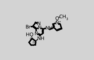 CO[n+]1cccc(CNc2cc(N[C@H]3CCC[C@@H]3O)nc3c(Br)cnn23)c1